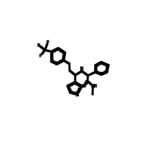 CNC(=O)C(NC(CCc1ccc(C(F)(F)F)cc1)c1ccno1)c1ccccc1